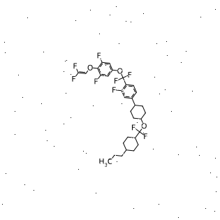 CCCC1CCC(C(F)(F)OC2CCC(c3ccc(C(F)(F)Oc4cc(F)c(OC=C(F)F)c(F)c4)c(F)c3)CC2)CC1